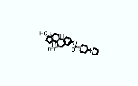 CCC[C@@H]1Cc2cc(OC(=O)N3CCC(N4CCCC4)CC3)ccc2[C@H]2CC[C@]3(C)[C@@H](O)CC[C@H]3[C@H]12